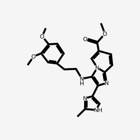 COC(=O)c1ccc2nc(-c3c[nH]c(C)n3)c(NCCc3ccc(OC)c(OC)c3)n2c1